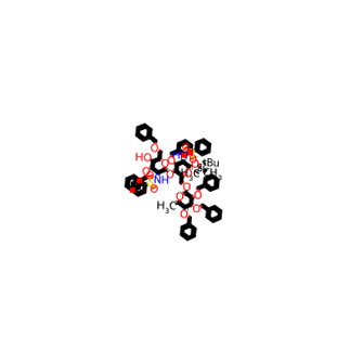 C[C@@H]1O[C@@H](OCC2O[C@H](O[Si](C)(C)C(C)(C)C)C(NS(=O)(=O)c3ccccc3)[C@H](OCc3ccccc3)[C@@H]2O[C@@H]2OC(COCc3ccccc3)[C@@H](O)[C@@H](OCc3ccccc3)C2NS(=O)(=O)c2ccccc2)C(OCc2ccccc2)C(OCc2ccccc2)[C@@H]1OCc1ccccc1